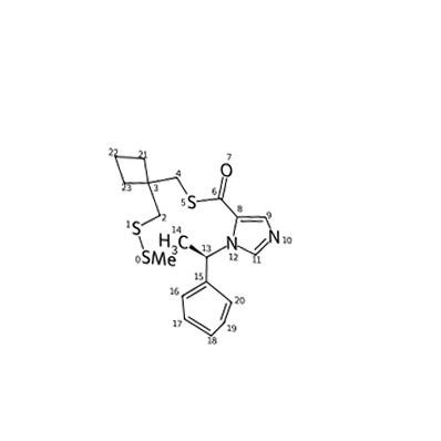 CSSCC1(CSC(=O)c2cncn2[C@H](C)c2ccccc2)CCC1